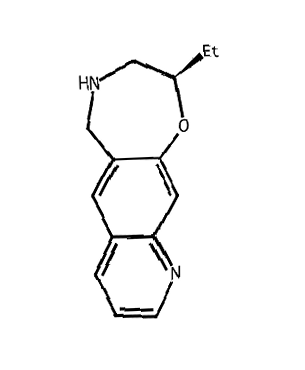 CC[C@@H]1CNCc2cc3cccnc3cc2O1